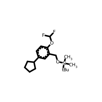 CC(C)(C)[Si](C)(C)OCc1cc(C2CCCC2)ccc1OC(F)F